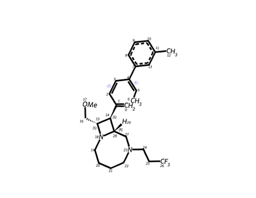 C=C(/C=C\C(=C/C)c1cccc(C)c1)[C@@H]1[C@@H](COC)N2CCCCN(CCC(F)(F)F)C[C@@H]12